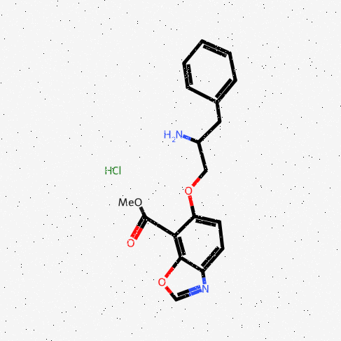 COC(=O)c1c(OCC(N)Cc2ccccc2)ccc2ncoc12.Cl